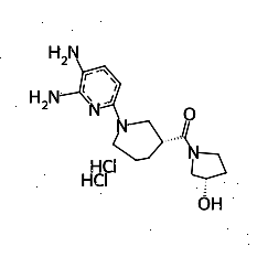 Cl.Cl.Nc1ccc(N2CCC[C@@H](C(=O)N3CC[C@H](O)C3)C2)nc1N